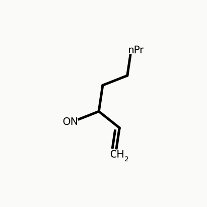 C=CC(CCCCC)N=O